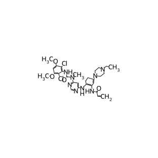 C=CC(=O)NC1=C(Nc2cc(N(C)C(=O)Nc3c(Cl)c(OC)cc(OC)c3Cl)ncn2)CCC(N2CCN(CC)CC2)=C1